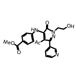 COC(=O)c1ccc(Nc2c(C(C)=O)c(-c3cccnc3)nn(CCO)c2=O)cc1